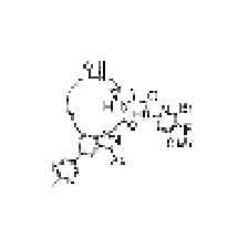 COc1cc(NC(=O)[C@@H]2C[C@]34CNC(=O)CCC/C=C/Cc5cc(-c6cnc(C)nc6)cc6c(C(C)=O)nn(c56)CC(=O)N2[C@@H]3C4)nc(Br)c1F